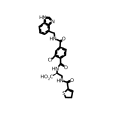 O=C(NC[C@H](NC(=O)c1ccc(C(=O)NCc2cccc3[nH]cnc23)cc1Cl)C(=O)O)C1=CCCS1